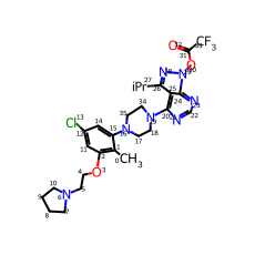 Cc1c(OCCN2CCCC2)cc(Cl)cc1N1CCN(c2ncnc3c2c(C(C)C)nn3OC(=O)C(F)(F)F)CC1